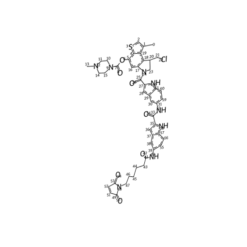 Cc1csc2c(OC(=O)N3CCN(C)CC3)cc3c(c12)C(CCl)CN3C(=O)c1cc2cc(NC(=O)c3cc4cc(NC(=O)CCCCCN5C(=O)C=CC5=O)ccc4[nH]3)ccc2[nH]1